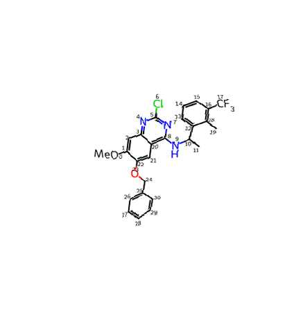 COc1cc2nc(Cl)nc(NC(C)c3cccc(C(F)(F)F)c3C)c2cc1OCc1ccccc1